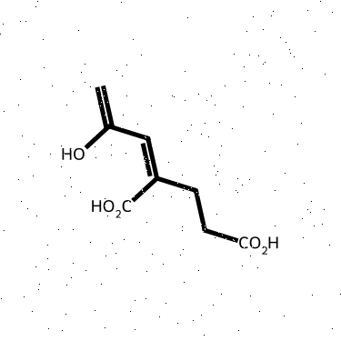 C=C(O)/C=C(/CCC(=O)O)C(=O)O